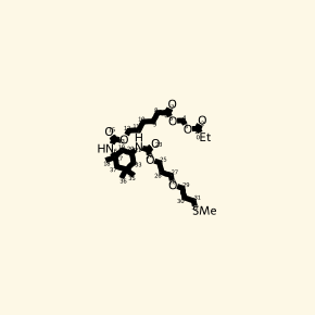 CCC(=O)OCOC(=O)CCCCCOC(=O)NC1(C)CC(NC(=O)OCCCOCCCSC)CC(C)(C)C1